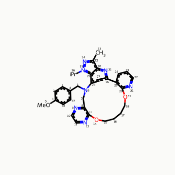 COc1ccc(CN2Cc3nccnc3OCCCCOc3ncccc3-c3cc2c2c(n3)c(C)nn2C(C)C)cc1